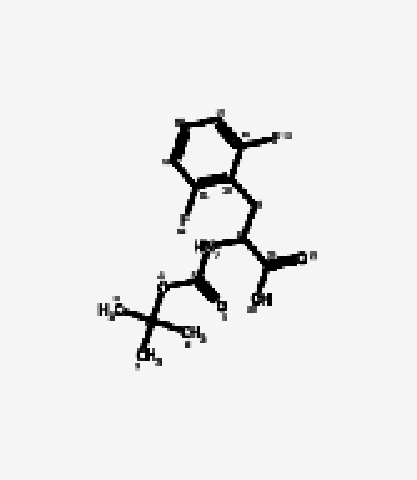 CC(C)(C)OC(=O)NC(Cc1c(F)cccc1F)C(=O)O